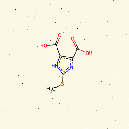 [CH2]Sc1nc(C(=O)O)c(C(=O)O)[nH]1